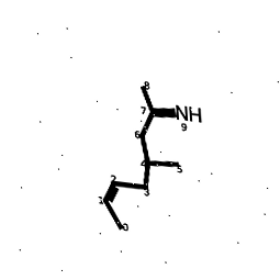 C/C=C\CC(C)CC(C)=N